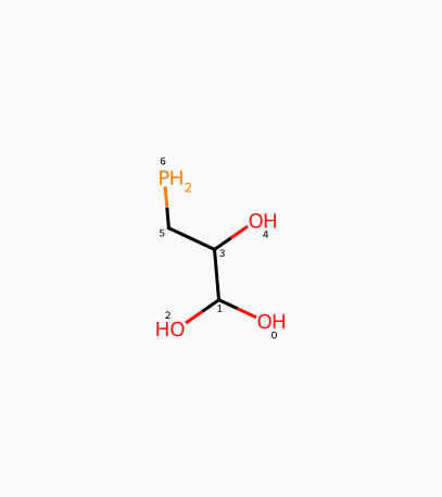 OC(O)C(O)CP